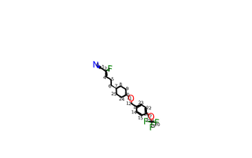 N#C/C(F)=C/CC[C@H]1CC[C@H](OCc2ccc(OC(F)(F)F)cc2)CC1